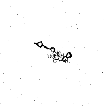 Cc1ccc(C#Cc2ccc(S(=O)(=O)N[C@@H](Cc3cnc4ccccc4c3)C(=O)O)s2)cc1